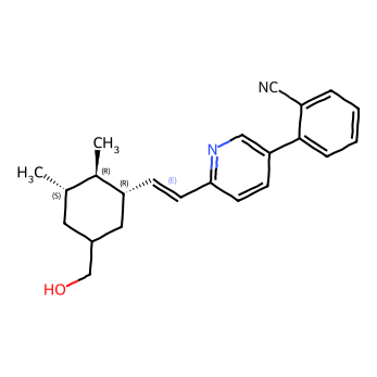 C[C@H]1[C@H](/C=C/c2ccc(-c3ccccc3C#N)cn2)CC(CO)C[C@@H]1C